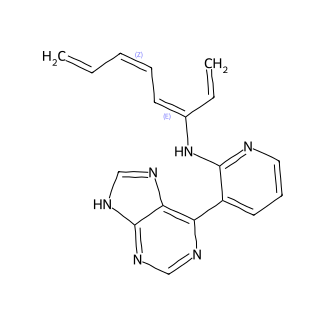 C=C/C=C\C=C(/C=C)Nc1ncccc1-c1ncnc2[nH]cnc12